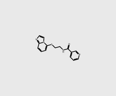 O=C(NCCSc1cccc2nccn12)c1cccnc1